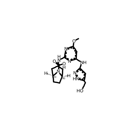 COc1cc(Nc2cc(CO)[nH]n2)nc(N[C@H]2C[C@H]3CC[C@@H](C2)N3C(=O)O)n1